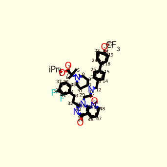 CC(C)OC(=O)C(C)(C)N1CCC(N(Cc2ccc(-c3ccc(OC(F)(F)F)cc3)cc2)C(=O)Cn2c(CCc3cccc(F)c3F)nc(=O)c3cccnc32)CC1